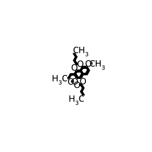 CCCCC(=O)Oc1c2c(c(OC(=O)CCCC)c3ccc(OC)cc13)OOC(C)C2